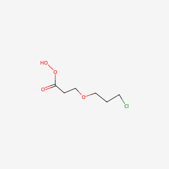 O=C(CCOCCCCl)OO